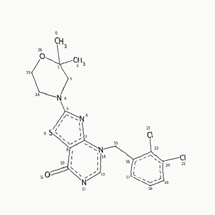 CC1(C)CN(c2nc3c(s2)c(=O)ncn3Cc2cccc(Cl)c2Cl)CCO1